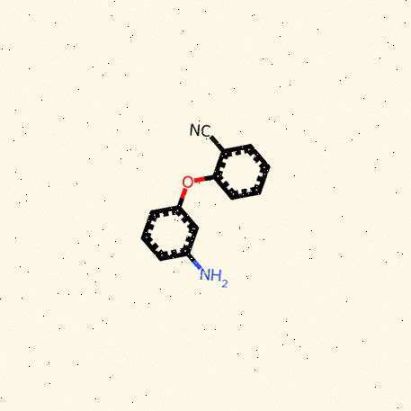 N#Cc1ccccc1Oc1cccc(N)c1